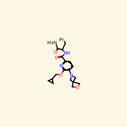 CNC(=O)C(CC(C)C)NC(=O)c1ccc(N2CC3(COC3)C2)c(OCC2CC2)n1